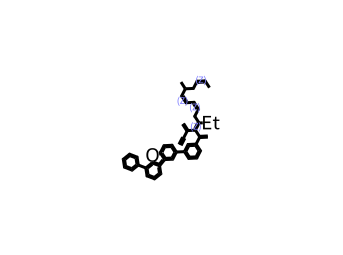 C#CC(=C)/C(C(=C)c1cccc(-c2ccc3oc4c(-c5ccccc5)cccc4c3c2)c1)=C(/CC)C/C=C\C=C/C(C)C/C=C\C